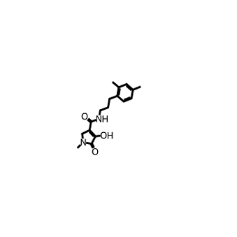 Cc1ccc(CCCNC(=O)C2=C(O)C(=O)N(C)C2)c(C)c1